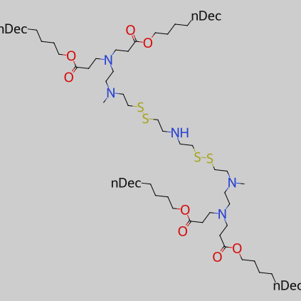 CCCCCCCCCCCCCCOC(=O)CCN(CCC(=O)OCCCCCCCCCCCCCC)CCN(C)CCSSCCNCCSSCCN(C)CCN(CCC(=O)OCCCCCCCCCCCCCC)CCC(=O)OCCCCCCCCCCCCCC